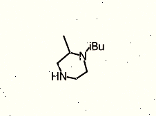 CCC(C)N1CCNCC1C